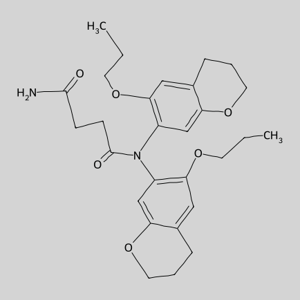 CCCOc1cc2c(cc1N(C(=O)CCC(N)=O)c1cc3c(cc1OCCC)CCCO3)OCCC2